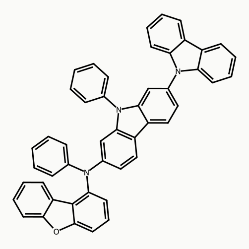 c1ccc(N(c2ccc3c4ccc(-n5c6ccccc6c6ccccc65)cc4n(-c4ccccc4)c3c2)c2cccc3oc4ccccc4c23)cc1